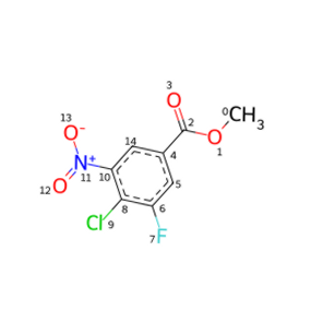 COC(=O)c1cc(F)c(Cl)c([N+](=O)[O-])c1